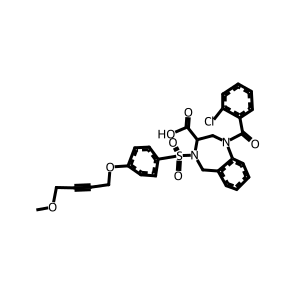 COCC#CCOc1ccc(S(=O)(=O)N2Cc3ccccc3N(C(=O)c3ccccc3Cl)CC2C(=O)O)cc1